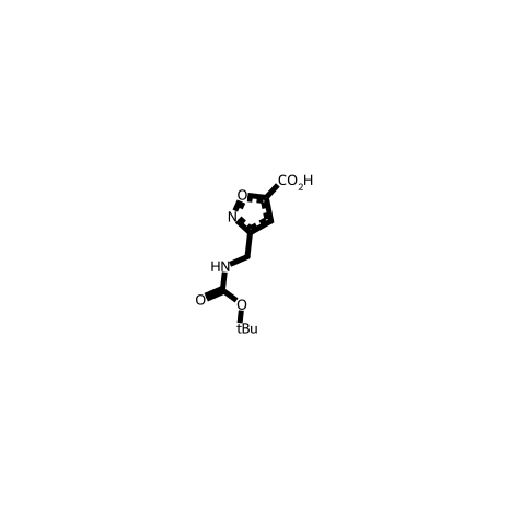 CC(C)(C)OC(=O)NCc1cc(C(=O)O)on1